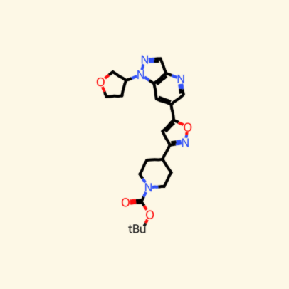 CC(C)(C)OC(=O)N1CCC(c2cc(-c3cnc4cnn(C5CCOC5)c4c3)on2)CC1